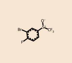 [O-][S+](c1ccc(F)c(Br)c1)C(F)(F)F